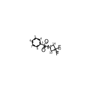 O=S(=O)(c1ccccc1)N1CC(F)(F)C1